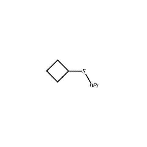 CCCSC1CCC1